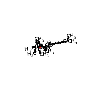 CCCCC(CC)C[Si]1(CC(CC)CCCC)c2cc(C)sc2-c2sc(-c3sc(C)c4nc(C(=O)OCCCCCCCCOCC(C)CCC)sc34)cc21